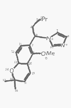 COC1=C(C(CC(C)C)n2ccnc2)C=CC2OC(C)(C)C=CC12